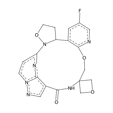 O=C1NC2(COC2)COc2ncc(F)cc2C2CCON2c2ccn3ncc1c3n2